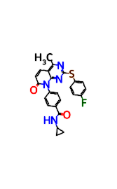 Cc1nc(Sc2ccc(F)cc2)nc2c1ccc(=O)n2-c1ccc(C(=O)NC2CC2)cc1